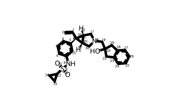 C=C[C@]1(c2cccc(NS(=O)(=O)C3CC3)c2)[C@@H]2CN(CC3(O)Cc4ccccc4C3)C[C@@H]21